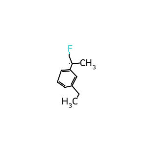 CCc1cccc([C](C)CF)c1